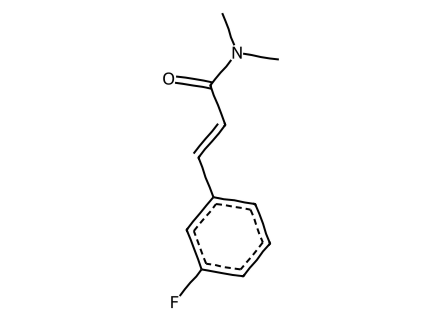 CN(C)C(=O)C=Cc1cccc(F)c1